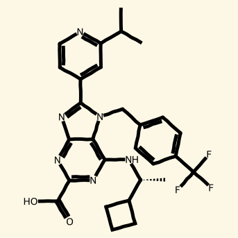 CC(C)c1cc(-c2nc3nc(C(=O)O)nc(N[C@H](C)C4CCC4)c3n2Cc2ccc(C(F)(F)F)cc2)ccn1